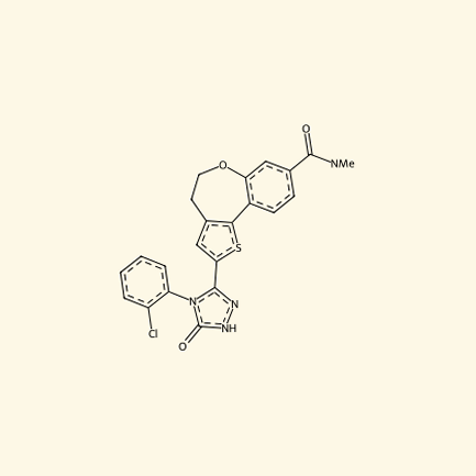 CNC(=O)c1ccc2c(c1)OCCc1cc(-c3n[nH]c(=O)n3-c3ccccc3Cl)sc1-2